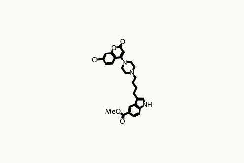 COC(=O)c1ccc2[nH]cc(CCCCN3CCN(c4cc(=O)oc5cc(Cl)ccc45)CC3)c2c1